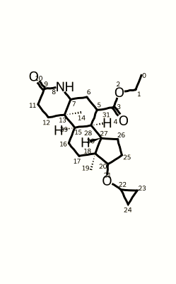 CCOC(=O)C1CC2NC(=O)CC[C@]2(C)[C@@H]2CC[C@]3(C)C(OC4CC4)CC[C@H]3[C@H]12